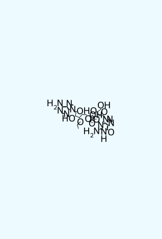 CCOC1C(COP(=O)(O)OC2C(O)C(O)OC2n2nnc3c(=O)[nH]c(N)nc32)OC(n2cnc3c(N)ncnc32)C1O